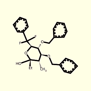 CC[C@@]1(O)O[C@@H](C(F)(F)c2ccccc2)[C@H](OCc2ccccc2)[C@@H](OCc2ccccc2)[C@@H]1C